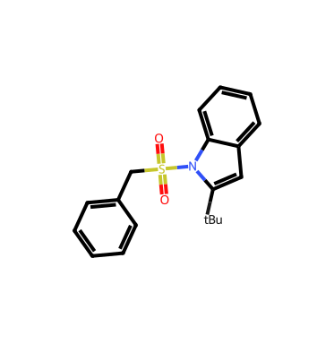 CC(C)(C)c1cc2ccccc2n1S(=O)(=O)Cc1ccccc1